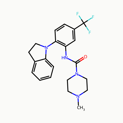 CN1CCN(C(=O)Nc2cc(C(F)(F)F)ccc2N2CCc3ccccc32)CC1